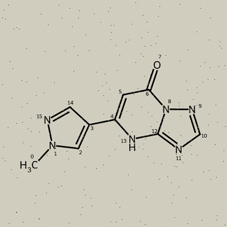 Cn1cc(-c2cc(=O)n3ncnc3[nH]2)cn1